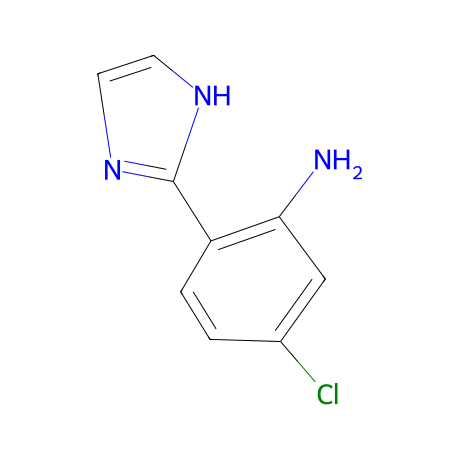 Nc1cc(Cl)ccc1-c1ncc[nH]1